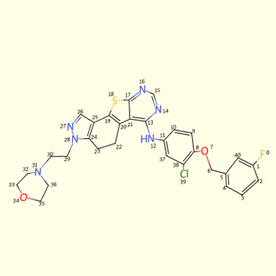 Fc1cccc(COc2ccc(Nc3ncnc4sc5c(c34)CCc3c-5cnn3CCN3CCOCC3)cc2Cl)c1